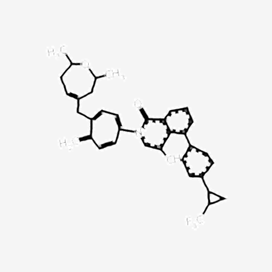 C=C1C=CC(n2cc(C)c3c(-c4ccc(C5CC5C(F)(F)F)cc4)cccc3c2=O)=CC=C1CC1=CCC(C)OC(C)C1